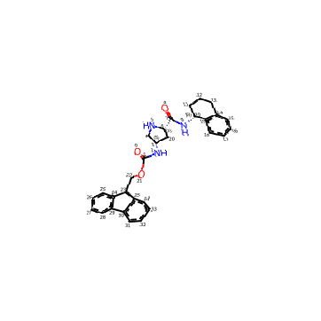 O=C(N[C@@H]1CN[C@H](C(=O)N[C@@H]2CCCc3ccccc32)C1)OCC1c2ccccc2-c2ccccc21